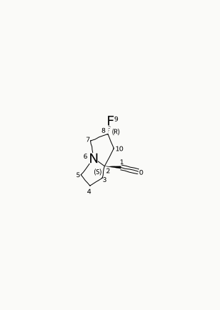 C#C[C@@]12CCCN1C[C@H](F)C2